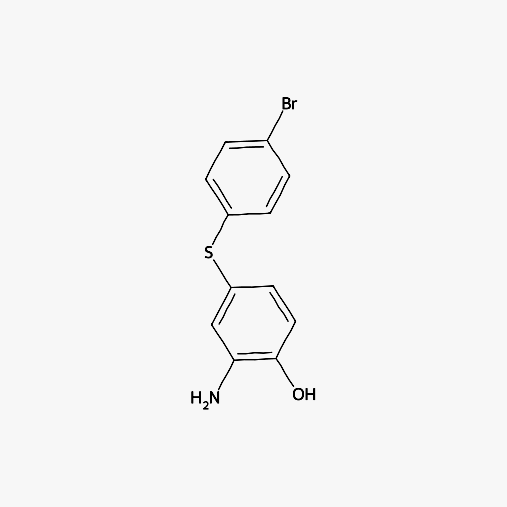 Nc1cc(Sc2ccc(Br)cc2)ccc1O